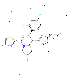 CC(F)/C=C1/C=C(C2=C3C[C@H](C)CN3C(c3nccs3)=N[C@H]2c2ccc(F)cc2Cl)C=N1